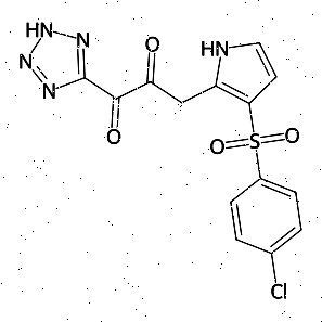 O=C(Cc1[nH]ccc1S(=O)(=O)c1ccc(Cl)cc1)C(=O)c1nn[nH]n1